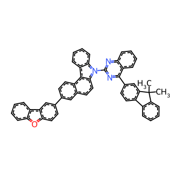 CC1(C)c2ccccc2-c2ccc(-c3nc(-n4c5ccccc5c5c6ccc(-c7ccc8oc9ccccc9c8c7)cc6ccc54)nc4ccccc34)cc21